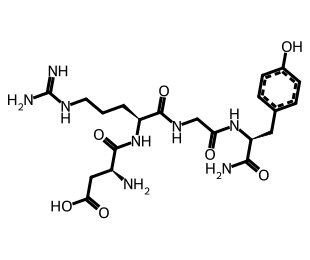 N=C(N)NCCC[C@H](NC(=O)[C@@H](N)CC(=O)O)C(=O)NCC(=O)N[C@@H](Cc1ccc(O)cc1)C(N)=O